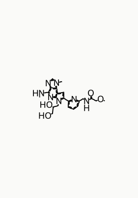 CNc1nc2c(cc(-c3cccc(CNC(=O)COC)n3)n2C[C@H](O)CO)c2c1ncn2C